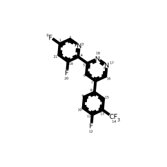 Fc1cnc(-c2cc(-c3ccc(F)c(C(F)(F)F)c3)cnn2)c(F)c1